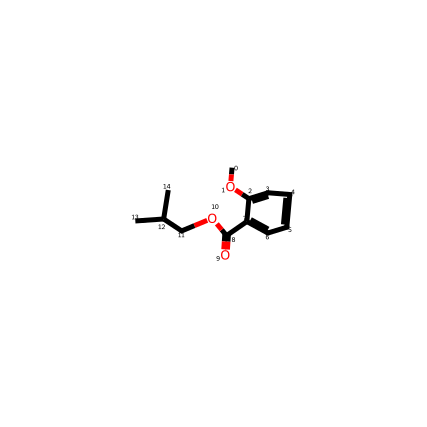 COc1ccccc1C(=O)OCC(C)C